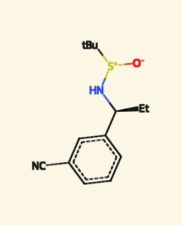 CC[C@H](N[S+]([O-])C(C)(C)C)c1cccc(C#N)c1